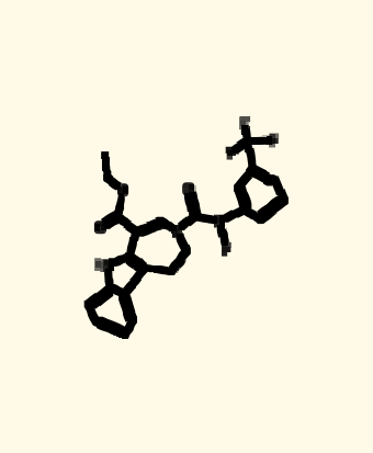 CCOC(=O)C1=CN(C(=O)N(F)c2cccc(C(F)(F)F)c2)CCc2c1[nH]c1ccccc21